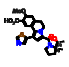 COc1cc2c(cc1C(=O)O)-c1c(-c3cncs3)cc(C(=O)N3CCC[C@]3(C)[C@@H](C)O)n1CC2